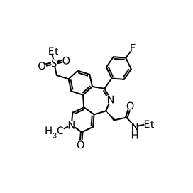 CCNC(=O)C[C@@H]1N=C(c2ccc(F)cc2)c2ccc(CS(=O)(=O)CC)cc2-c2cn(C)c(=O)cc21